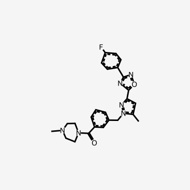 Cc1cc(-c2nc(-c3ccc(F)cc3)no2)nn1Cc1cccc(C(=O)N2CCN(C)CC2)c1